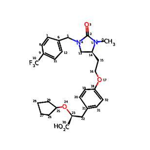 CN1C(=O)N(Cc2ccc(C(F)(F)F)cc2)C[C@@H]1CCOc1ccc(C[C@H](OC2CCCC2)C(=O)O)cc1